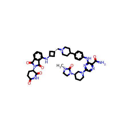 CN1CCN([C@@H]2CCCN(c3cnc(C(N)=O)c(Nc4ccc(C5CCN(C[C@H]6C[C@H](Nc7cccc8c7C(=O)N([C@@H]7CCC(=O)NC7=O)C8=O)C6)CC5)cc4)n3)C2)C1=O